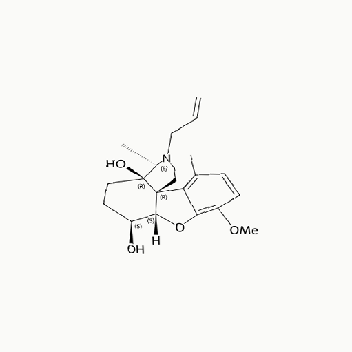 C=CCN1CC[C@@]23c4c(C)ccc(OC)c4O[C@@H]2[C@@H](O)CC[C@]3(O)[C@@H]1C